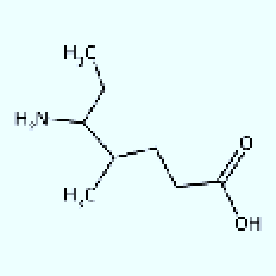 CCC(N)C(C)CCC(=O)O